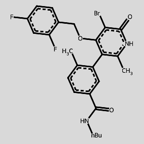 CCCCNC(=O)c1ccc(C)c(-c2c(C)[nH]c(=O)c(Br)c2OCc2ccc(F)cc2F)c1